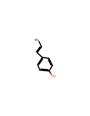 CC(C)(C)/C=C/c1ccc(O)cc1